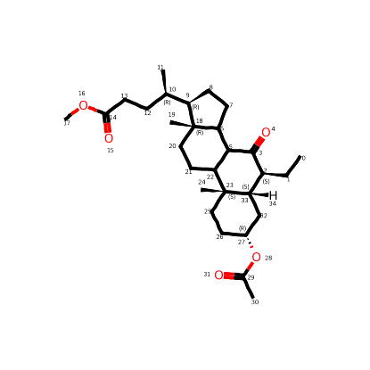 CC[C@@H]1C(=O)C2C3CC[C@H]([C@H](C)CCC(=O)OC)[C@@]3(C)CCC2[C@@]2(C)CC[C@@H](OC(C)=O)C[C@@H]12